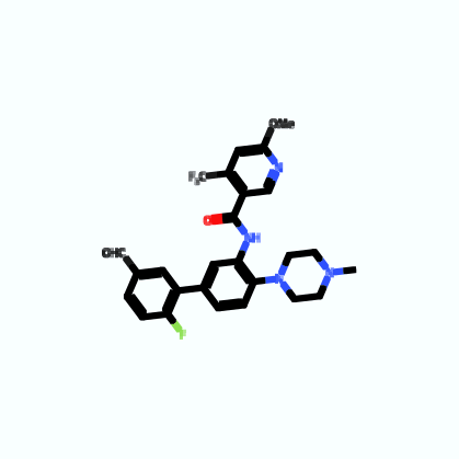 COc1cc(C(F)(F)F)c(C(=O)Nc2cc(-c3cc(C=O)ccc3F)ccc2N2CCN(C)CC2)cn1